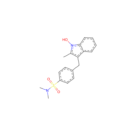 Cc1c(Cc2ccc(S(=O)(=O)N(C)C)cc2)c2ccccc2n1O